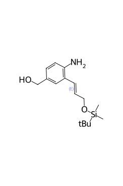 CC(C)(C)[Si](C)(C)OC/C=C/c1cc(CO)ccc1N